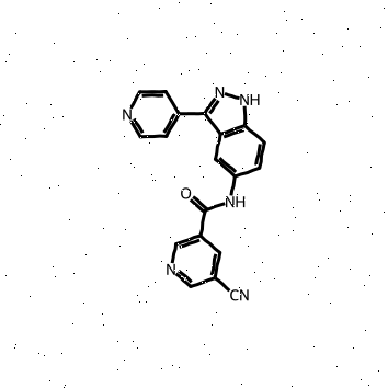 N#Cc1cncc(C(=O)Nc2ccc3[nH]nc(-c4ccncc4)c3c2)c1